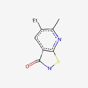 CCc1cc2c(nc1C)S[N]C2=O